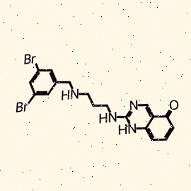 O=c1cccc2[nH]c(NCCCNCc3cc(Br)cc(Br)c3)ncc1-2